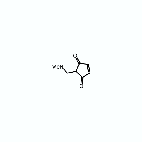 CNCC1C(=O)C=CC1=O